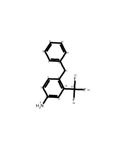 Nc1ccc(Cc2ccccc2)c(C(F)(F)F)c1